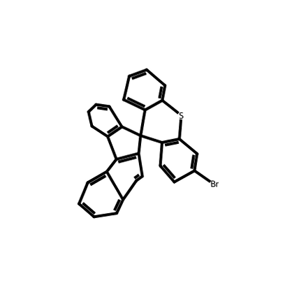 Brc1ccc2c(c1)Sc1ccccc1C21C2=C(CCC=C2)c2c1ccc1ccccc21